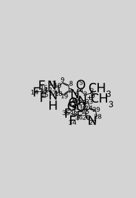 CC(C)C1C(=O)N(c2ccc3nc(C(F)(F)F)[nH]c3c2)C(=O)[N+]1(Cc1ccncc1)OC(=O)C(F)(F)F